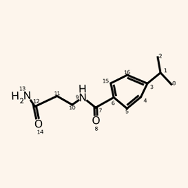 CC(C)c1ccc(C(=O)NCCC(N)=O)cc1